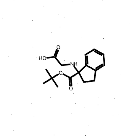 CC(C)(C)OC(=O)C1(NCC(=O)O)CCc2ccccc21